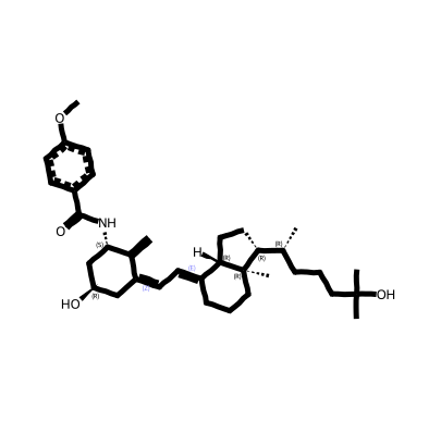 C=C1/C(=C\C=C2/CCC[C@]3(C)[C@@H]([C@H](C)CCCC(C)(C)O)CC[C@@H]23)C[C@@H](O)C[C@@H]1NC(=O)c1ccc(OC)cc1